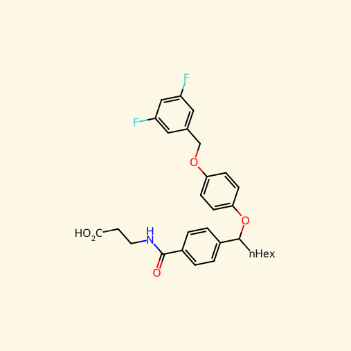 CCCCCCC(Oc1ccc(OCc2cc(F)cc(F)c2)cc1)c1ccc(C(=O)NCCC(=O)O)cc1